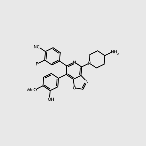 COc1ccc(-c2c(-c3ccc(C#N)c(F)c3)nc(N3CCC(N)CC3)c3ncoc23)cc1O